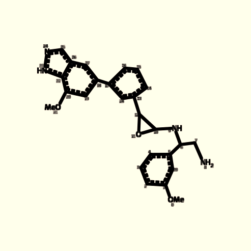 COc1cccc(C(CN)NC2OC2c2cccc(-c3cc(OC)c4[nH]ncc4c3)c2)c1